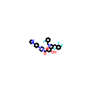 O=C(/C=C(/O)c1cc(Cc2c(F)ccc(F)c2F)cn(Cc2ccccc2F)c1=O)C(=O)N1CCN(c2ccc(-n3cccn3)cc2)CC1